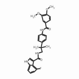 COc1ccc(C(=O)Nc2ccc(C(C)(C)CNC(=O)c3c[nH]c4cccc(F)c34)cc2)cc1OC